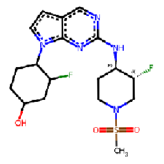 CS(=O)(=O)N1CC[C@@H](Nc2ncc3ccn(C4CCC(O)CC4F)c3n2)[C@H](F)C1